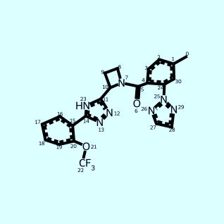 Cc1ccc(C(=O)N2CCC2c2nnc(-c3ccccc3OC(F)(F)F)[nH]2)c(-n2nccn2)c1